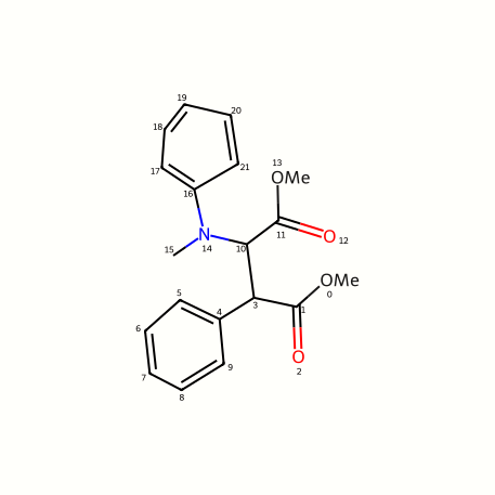 COC(=O)C(c1ccccc1)C(C(=O)OC)N(C)c1ccccc1